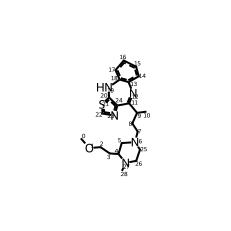 COCCC1CN(CCC(C)C2=Nc3ccccc3Nc3scnc32)CCN1C